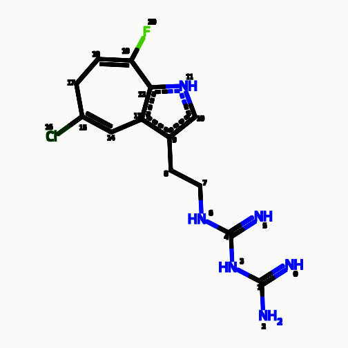 N=C(N)NC(=N)NCCc1c[nH]c2c1C=C(Cl)CC=C2F